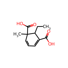 CCC1C(C(=O)O)=CC=CC1(C)C(=O)O